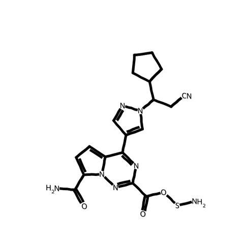 N#CCC(C1CCCC1)n1cc(-c2nc(C(=O)OSN)nn3c(C(N)=O)ccc23)cn1